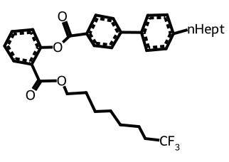 CCCCCCCc1ccc(-c2ccc(C(=O)Oc3ccccc3C(=O)OCCCCCCCC(F)(F)F)cc2)cc1